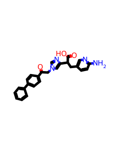 Nc1ccc(CC(C(=O)O)c2cn(CC(=O)c3ccc(-c4ccccc4)cc3)cn2)cn1